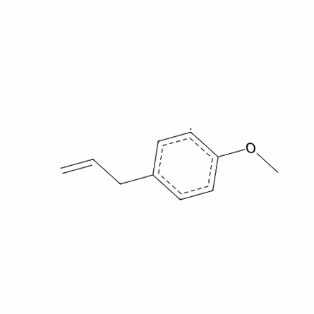 C=CCc1c[c]c(OC)cc1